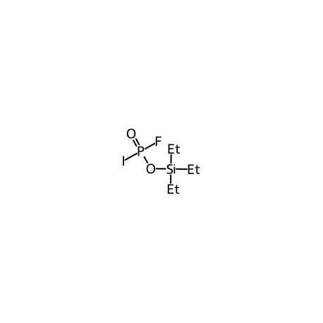 CC[Si](CC)(CC)OP(=O)(F)I